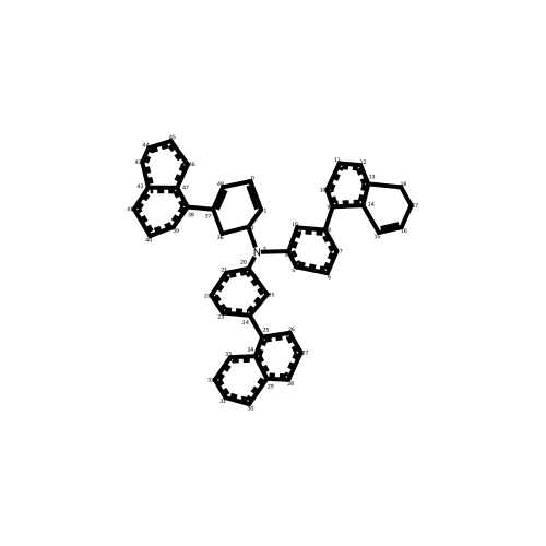 C1=CC(N(c2cccc(-c3cccc4c3C=CCC4)c2)c2cccc(-c3cccc4ccccc34)c2)CC(c2cccc3ccccc23)=C1